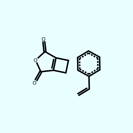 C=Cc1ccccc1.O=C1OC(=O)C2=C1CC2